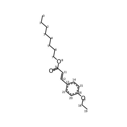 CCCCCCCCOC(=O)C=Cc1ccc(OCC)cc1